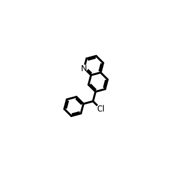 ClC(c1ccccc1)c1ccc2cccnc2c1